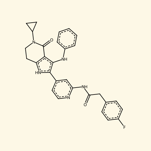 O=C(Cc1ccc(F)cc1)Nc1cc(-c2[nH]c3c(c2Nc2ccccc2)C(=O)N(C2CC2)CC3)ccn1